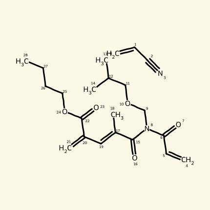 C=CC#N.C=CC(=O)N(COCC(C)C)C(=O)C(C)=CC(=C)C(=O)OCCCC